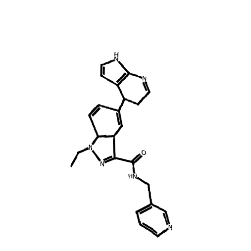 CCN1N=C(C(=O)NCc2cccnc2)C2C=C(C3CC=Nc4[nH]ccc43)C=CC21